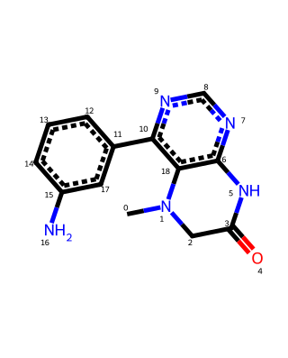 CN1CC(=O)Nc2ncnc(-c3cccc(N)c3)c21